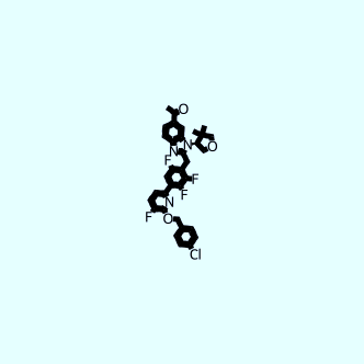 CC(=O)c1ccc2nc(Cc3c(F)cc(-c4ccc(F)c(OCc5ccc(Cl)cc5)n4)c(F)c3F)n([C@@H]3COCC3(C)C)c2c1